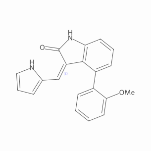 COc1ccccc1-c1cccc2c1/C(=C/c1ccc[nH]1)C(=O)N2